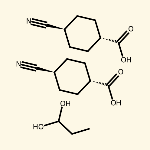 CCC(O)O.N#C[C@H]1CC[C@H](C(=O)O)CC1.N#C[C@H]1CC[C@H](C(=O)O)CC1